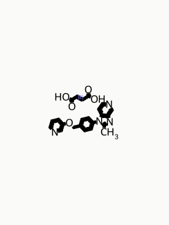 Cc1nc2cnccc2n1-c1ccc(COc2cccnc2)cc1.O=C(O)/C=C/C(=O)O